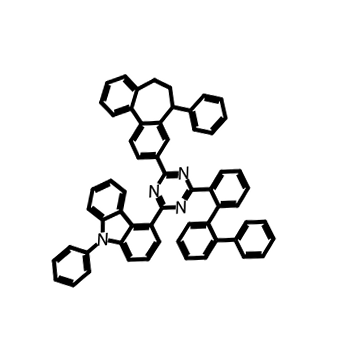 c1ccc(-c2ccccc2-c2ccccc2-c2nc(-c3ccc4c(c3)C(c3ccccc3)CCc3ccccc3-4)nc(-c3cccc4c3c3ccccc3n4-c3ccccc3)n2)cc1